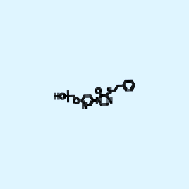 CC(C)(O)COc1ccc(-n2ccnc(SCCc3ccccc3)c2=O)cn1